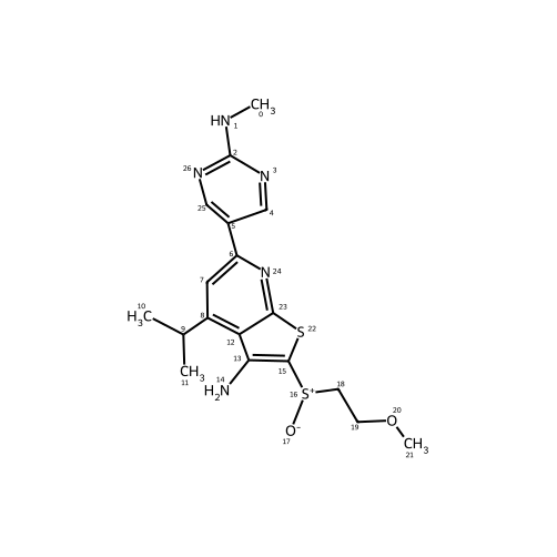 CNc1ncc(-c2cc(C(C)C)c3c(N)c([S+]([O-])CCOC)sc3n2)cn1